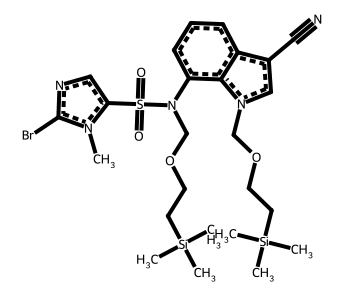 Cn1c(S(=O)(=O)N(COCC[Si](C)(C)C)c2cccc3c(C#N)cn(COCC[Si](C)(C)C)c23)cnc1Br